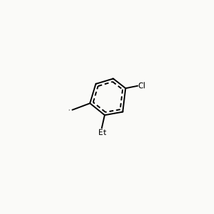 [CH2]c1ccc(Cl)cc1CC